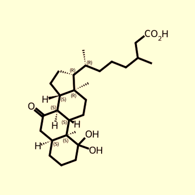 CC(CCC[C@@H](C)[C@H]1CC[C@H]2[C@@H]3C(=O)C[C@@H]4CCCC(O)(O)[C@]4(C)[C@H]3CC[C@]12C)CC(=O)O